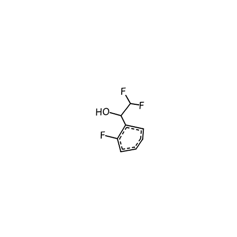 OC(c1ccccc1F)C(F)F